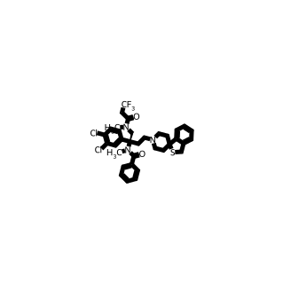 CN(C[C@](CCN1CCC2(CC1)SCc1ccccc12)(c1ccc(Cl)c(Cl)c1)N(C)C(=O)c1ccccc1)C(=O)CC(F)(F)F